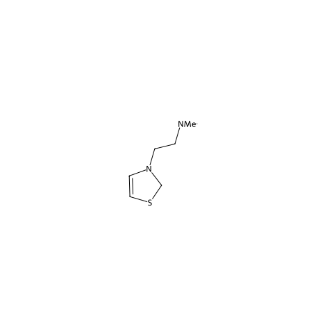 C[N]CCN1C=CSC1